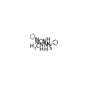 CC(C)(/N=N/C1CCCCC1)NC(=S)NNC(=S)c1ccccc1